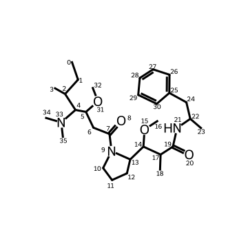 CCC(C)C(C(CC(=O)N1CCCC1C(OC)C(C)C(=O)NC(C)Cc1ccccc1)OC)N(C)C